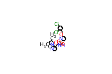 CC1CN(c2ncccc2C(=O)NS(=O)(=O)c2cccc(OCc3ccc(Cl)cc3Cl)n2)C(C)(C)C1